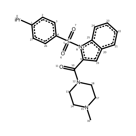 CC(C)c1ccc(S(=O)(=O)n2c(C(=O)N3CCN(C)CC3)cc3ccccc32)cc1